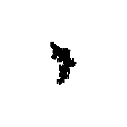 CCCC(C)(NC(=O)C(C)(C)NC(=O)[C@H](CC(C)C)NC(=O)[C@H](CCC1CCCCC1)N(C=O)[C@@H]1CCCN1C(=O)c1ccc(F)cc1)C(=O)N[C@@H](CC(C)C)C(=O)NC(C)(C)C(=O)NC(C)(C)C(=O)NCCC(=O)NCCN(C)CC(F)F